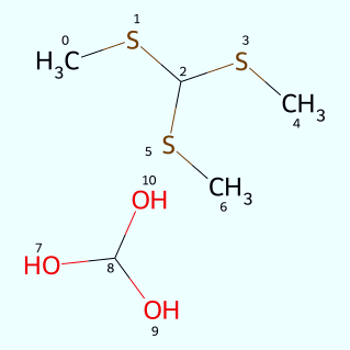 CSC(SC)SC.OC(O)O